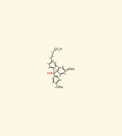 COc1ccc(C(O)(c2ccc(CCCC(=O)O)cc2)c2ccc(OC)cc2)cc1